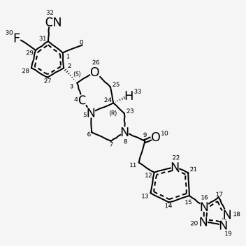 Cc1c([C@H]2CN3CCN(C(=O)Cc4ccc(-n5cnnn5)cn4)C[C@@H]3CO2)ccc(F)c1C#N